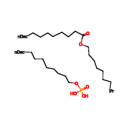 CCCCCCCCCCCCCCCCCC(=O)OCCCCCCCC(C)C.CCCCCCCCCCCCCCCCCCOP(=O)(O)O